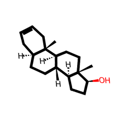 C[C@]12CC=CC[C@@H]1CC[C@@H]1[C@@H]2CC[C@]2(C)[C@@H](O)CC[C@@H]12